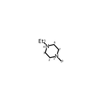 [CH2]N1CCN(CC)CC1